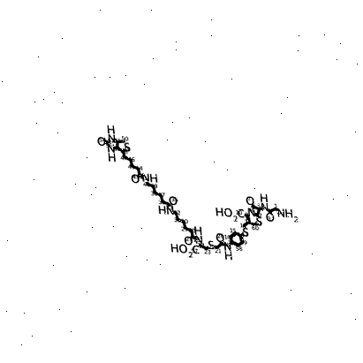 NCC(=O)NC1C(=O)N2C(C(=O)O)=C(CSc3ccc(NC(=O)CSCC(NC(=O)CCCCCNC(=O)CCCCCNC(=O)CCCCC4SCC5NC(=O)NC54)C(=O)O)cc3)CSC12